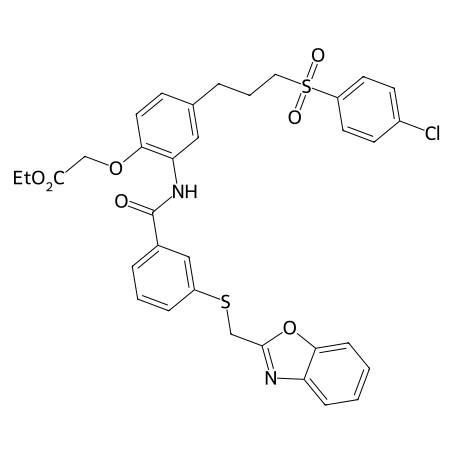 CCOC(=O)COc1ccc(CCCS(=O)(=O)c2ccc(Cl)cc2)cc1NC(=O)c1cccc(SCc2nc3ccccc3o2)c1